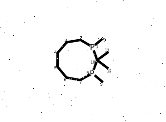 CP1CCCCCCP(C)C1(C)C